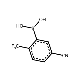 N#Cc1ccc(C(F)(F)F)c(B(O)O)c1